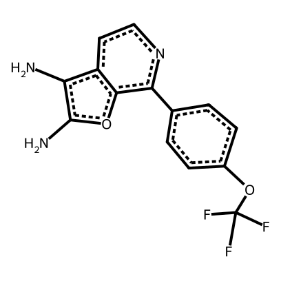 Nc1oc2c(-c3ccc(OC(F)(F)F)cc3)nccc2c1N